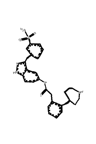 NS(=O)(=O)c1cccc(-c2n[nH]c3ccc(NC(=O)Cc4ccccc4C4CCNCC4)cc23)c1